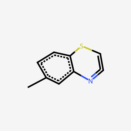 Cc1ccc2c(c1)N=C=CS2